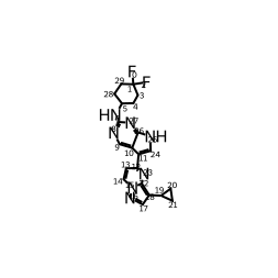 FC1(F)CCC(Nc2ncc3c(-c4ccn5ncc(C6CC6)c5n4)c[nH]c3n2)CC1